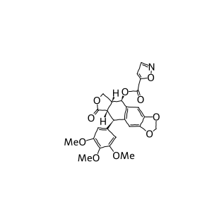 COc1cc([C@@H]2c3cc4c(cc3[C@H](OC(=O)c3ccno3)[C@H]3COC(=O)[C@@H]23)OCO4)cc(OC)c1OC